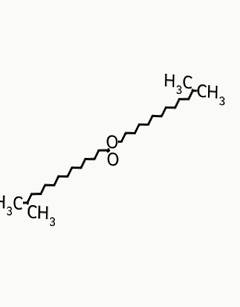 CC(C)CCCCCCCCCCCOC(=O)CCCCCCCCCCCC(C)C